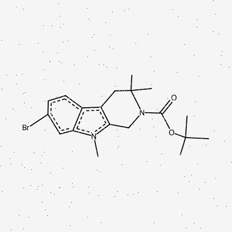 Cn1c2c(c3ccc(Br)cc31)CC(C)(C)N(C(=O)OC(C)(C)C)C2